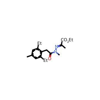 CCOC(=O)C(C)=NN(C)C(=O)Cc1c(CC)cc(C)cc1CC